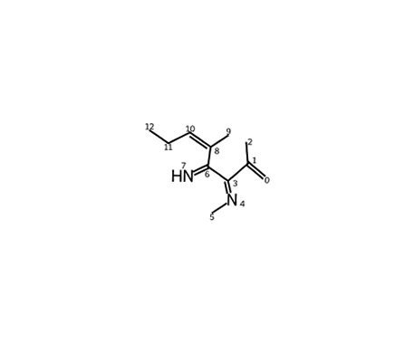 C=C(C)/C(=N/C)C(=N)/C(C)=C\CC